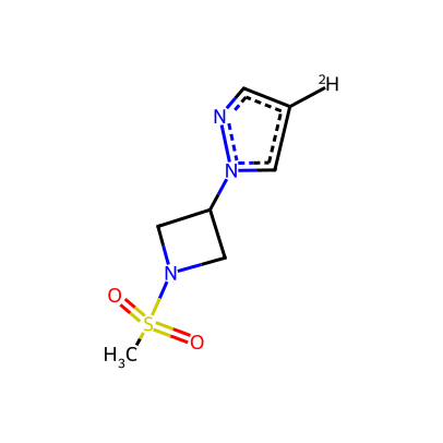 [2H]c1cnn(C2CN(S(C)(=O)=O)C2)c1